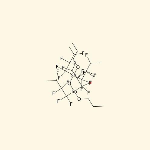 CCC[O][Sn]([O][Sn]([O]CCC)([C](F)(F)C(F)(F)C(C)F)[C](F)(F)C(F)(F)C(C)F)([C](F)(F)C(F)(F)C(C)F)[C](F)(F)C(F)(F)C(C)F